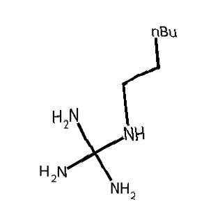 CCCCCCNC(N)(N)N